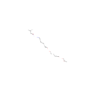 CC(=O)COCCCCCOCCCCCNC(=O)CC(C)C